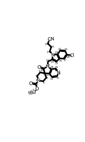 CC(C)(C)OC(=O)N1CCC2(CC1)C(=O)N(Cc1cc3cc(Cl)ccc3n1CCCC#N)c1cnccc12